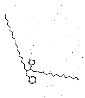 CCCCCCCCCCCCCCCCCCC(Cc1ccccc1)C(CCCCCCCCCCCCCCC)n1ccnc1